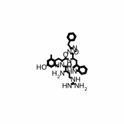 Cc1cc(O)cc(C)c1CC(NC(=O)C(N)CCNC(=N)N)C(=O)NC(Cc1c[nH]c2ccccc12)c1nc(Cc2ccccc2)no1